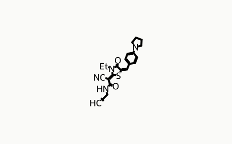 C#CCNC(=O)/C(C#N)=c1\sc(=Cc2ccc(N3CCCC3)cc2)c(=O)n1CC